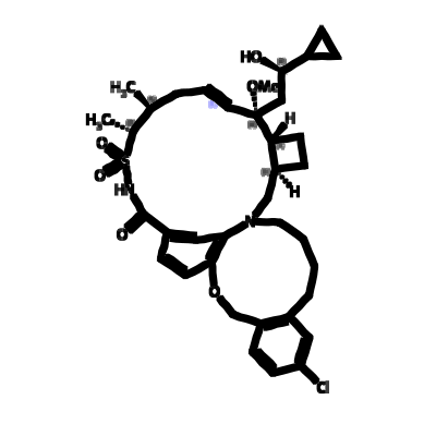 CO[C@@]1(C[C@@H](O)C2CC2)/C=C/C[C@H](C)[C@@H](C)S(=O)(=O)NC(=O)c2ccc3c(c2)N(CCCCc2cc(Cl)ccc2CO3)C[C@@H]2CC[C@H]21